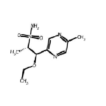 CCO[C@H](c1cnc(C)cn1)[C@H](C)S(N)(=O)=O